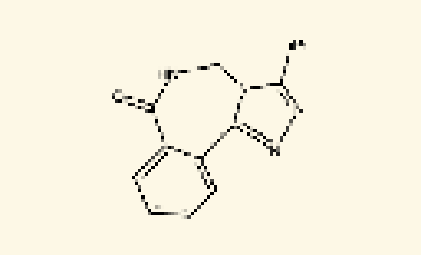 CC(C)c1nnc2n1CNC(=O)c1ccccc1-2